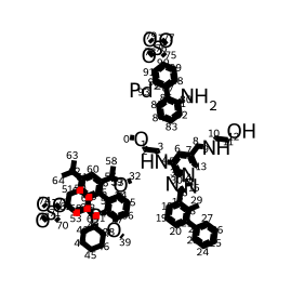 COCCNc1cc(CNCCO)cn2nc(-c3cccc(-c4ccccc4)c3C)nc12.COc1ccc(OC)c(P(C2CCCCC2)C2CCCCC2)c1-c1c(C(C)C)cc(C(C)C)cc1C(C)C.CS(=O)(=O)[O-].CS(=O)(=O)[O-].Nc1ccccc1-c1cccc[c]1[Pd+2]